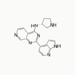 c1cc2c(N[C@@H]3CCNC3)nc(-c3ccnc4[nH]ccc34)nc2cn1